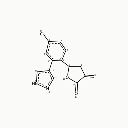 C=C1CC(c2ccc(Cl)cc2-c2cn[nH]c2)OC1=O